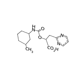 CC1CCCC(NC(=O)OC(Cc2ncccn2)C(=O)O)C1